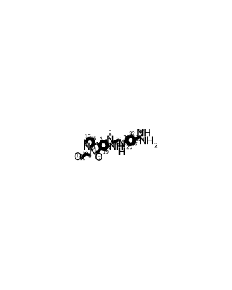 CN1c2ccc(C(=O)N(CCC=O)c3ccccn3)cc2NC1CNc1ccc(C(=N)N)cc1